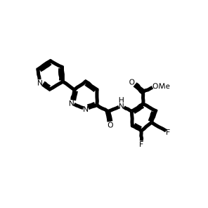 COC(=O)c1cc(F)c(F)cc1NC(=O)c1ccc(-c2cccnc2)nn1